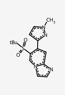 Cn1ccc(-c2cc3nccn3cc2S(=O)(=O)C(C)(C)C)n1